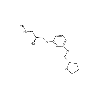 CC(C)(C)NC[C@H](O)COc1cccc(OC[C@@H]2CCCO2)c1